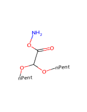 CCCCCOC(OCCCCC)C(=O)ON